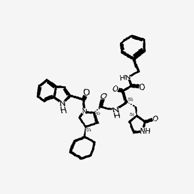 O=C(NCc1ccccc1)C(=O)[C@H](C[C@@H]1CCNC1=O)NC(=O)[C@@H]1C[C@@H](C2CCCCC2)CN1C(=O)c1cc2ccccc2[nH]1